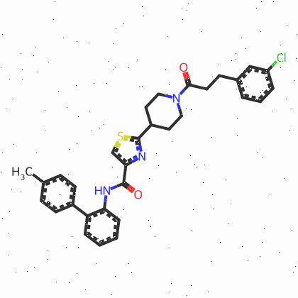 Cc1ccc(-c2ccccc2NC(=O)c2csc(C3CCN(C(=O)CCc4cccc(Cl)c4)CC3)n2)cc1